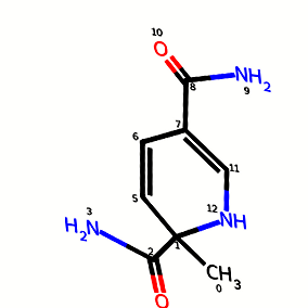 CC1(C(N)=O)C=CC(C(N)=O)=CN1